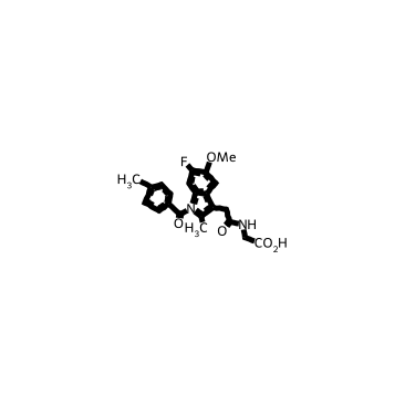 COc1cc2c(CC(=O)NCC(=O)O)c(C)n(C(=O)c3ccc(C)cc3)c2cc1F